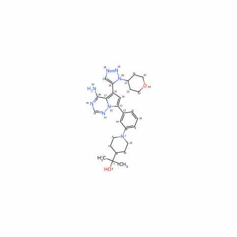 CC(C)(O)C1CCN(c2cccc(-c3cc(-c4cnnn4C4CCOCC4)c4c(N)ncnn34)c2)CC1